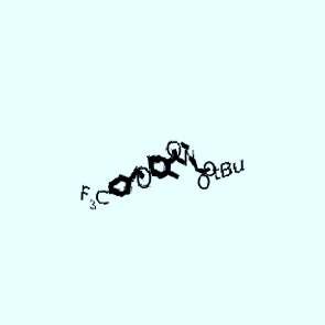 Cc1cc(OCc2ccc(C(F)(F)F)cc2)ccc1C1CN(CCC(=O)OC(C)(C)C)CCO1